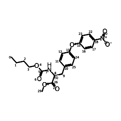 CCCCOC(=O)N[C@@H](Cc1ccc(Oc2ccc([N+](=O)[O-])cc2)cc1)C(=O)OC